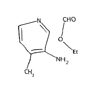 CCOC=O.Cc1ccncc1N